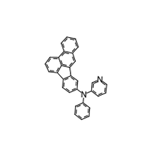 c1ccc(N(c2cccnc2)c2ccc3c(c2)-c2cc4ccccc4c4cccc-3c24)cc1